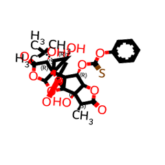 C[C@@H]1C(=O)OC2[C@H](OC(=S)Oc3ccccc3)C34C5OC(=O)C3(OC3OC(=O)[C@H](O)C34[C@H](C(C)(C)C)[C@H]5O)[C@]21O